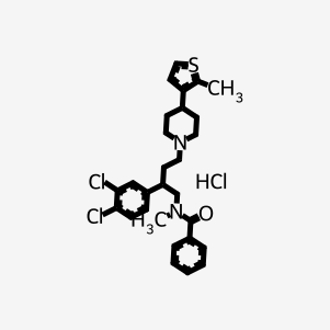 Cc1sccc1C1CCN(CCC(CN(C)C(=O)c2ccccc2)c2ccc(Cl)c(Cl)c2)CC1.Cl